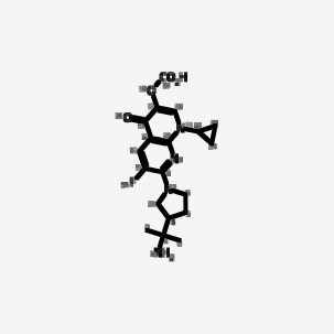 CC(C)(N)C1CCN(c2nc3c(cc2F)c(=O)c(OC(=O)O)cn3C2CC2)C1